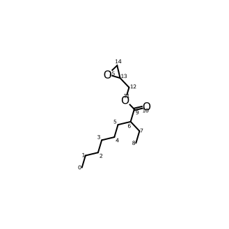 CCCCCCC(CC)C(=O)OCC1CO1